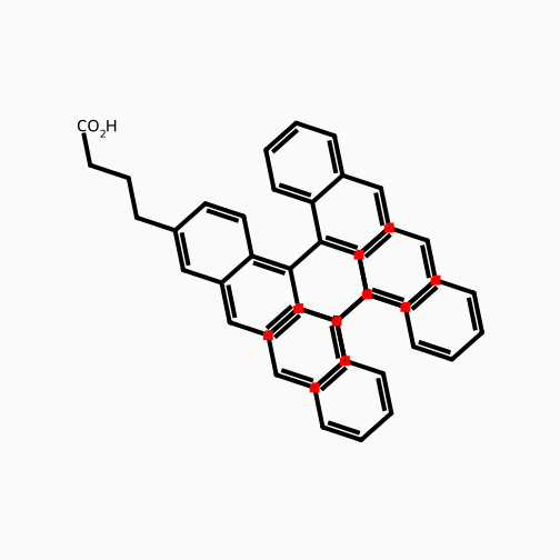 O=C(O)CCCc1ccc2c(-c3c(P(c4ccccc4)c4ccccc4)ccc4ccccc34)c(P(c3ccccc3)c3ccccc3)ccc2c1